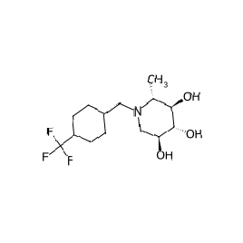 C[C@@H]1[C@@H](O)[C@H](O)[C@@H](O)CN1CC1CCC(C(F)(F)F)CC1